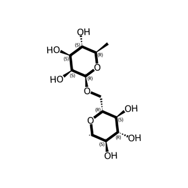 C[C@H]1O[C@@H](OC[C@H]2O[CH][C@H](O)[C@@H](O)[C@@H]2O)[C@@H](O)[C@@H](O)[C@@H]1O